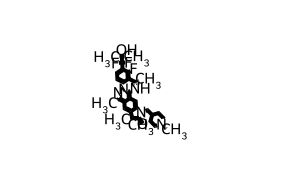 Cc1nnc(N[C@H](C)c2cccc(C(F)(F)C(C)(C)O)c2F)c2cc3c(cc12)C(C)(C)C(=O)N3CC1CCN(C)CC1